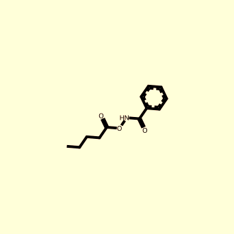 CCCCC(=O)ONC(=O)c1ccccc1